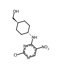 O=[N+]([O-])c1cnc(Cl)nc1N[C@H]1CC[C@H](CO)CC1